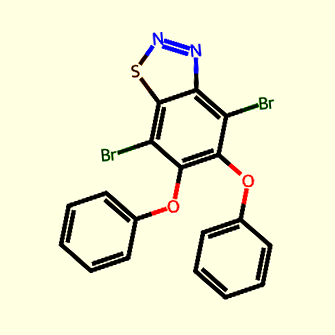 Brc1c(Oc2ccccc2)c(Oc2ccccc2)c(Br)c2snnc12